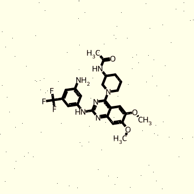 COc1cc2nc(Nc3cc(N)cc(C(F)(F)F)c3)nc(N3CCCC(NC(C)=O)C3)c2cc1OC